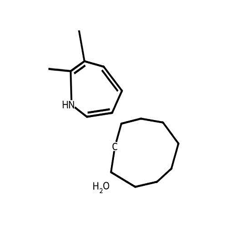 C1CCCCCCCC1.CC1=C(C)NC=CC=C1.O